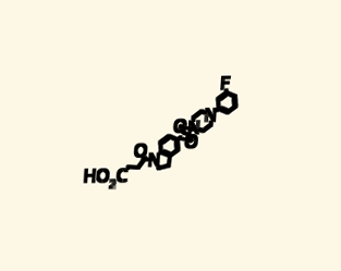 O=C(O)CCC(=O)N1CCc2cc(S(=O)(=O)N3CCN(c4cccc(F)c4)CC3)ccc21